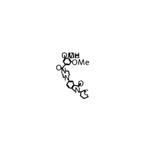 COc1cc(C(=O)N2CCN(c3ccc4c(c3)C(=O)N(C3CCCCC3)C4)CC2)cc(OC)c1O